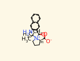 CC(C)(C)[N+]1(C(=O)c2cc3ccccc3cc2N)CCC[C@@H]1C(=O)[O-]